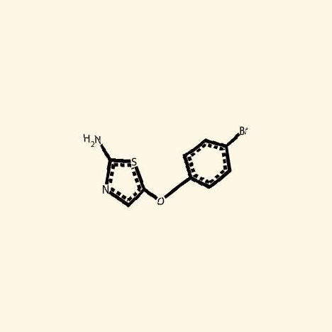 Nc1ncc(Oc2ccc(Br)cc2)s1